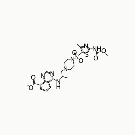 COC(=O)Nc1nc(C)c(S(=O)(=O)N2CCN(CC(C)Nc3ncnc4c(C(=O)OC)cccc34)CC2)s1